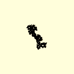 c1ccc2c(c#1)c1ccccc1n2-c1ccc2c(c1)c1ccccc1n2-c1cc2sc3c(-n4c5ccccc5c5ccccc54)cccc3c2cn1